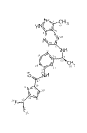 Cc1n[nH]c2ncc(N[C@@H](C)c3cccc(NC(=O)c4ccc(C(F)F)s4)c3)nc12